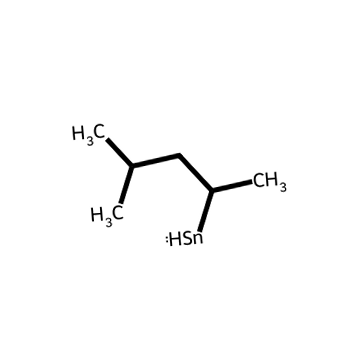 CC(C)C[CH](C)[SnH]